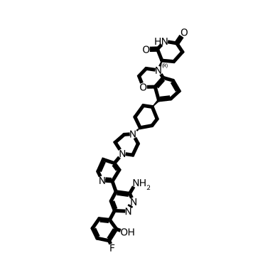 Nc1nnc(-c2cccc(F)c2O)cc1-c1cc(N2CCN([C@H]3CC[C@H](c4cccc5c4OCCN5[C@@H]4CCC(=O)NC4=O)CC3)CC2)ccn1